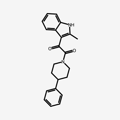 Cc1[nH]c2ccccc2c1C(=O)C(=O)N1CCC(c2ccccc2)CC1